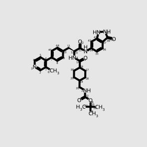 Cc1cnccc1-c1ccc(C[C@H](NC(=O)C2CCC(CNC(=O)OC(C)(C)C)CC2)C(=O)Nc2ccc3c(=O)[nH][nH]c3c2)cc1